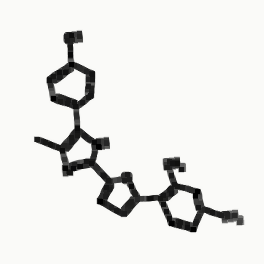 Bc1cc(P)ccc1-c1ccc(-c2nc(C)c(-c3ccc(O)cc3)[nH]2)o1